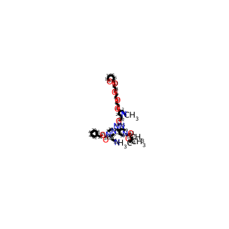 CN1CC(OCCOCCOCCOC2CCCCO2)CC1COc1nc2c(c(N3CCN(C(=O)OCc4ccccc4)[C@@H](CC#N)C3)n1)CCN(C(=O)OC(C)(C)C)C2